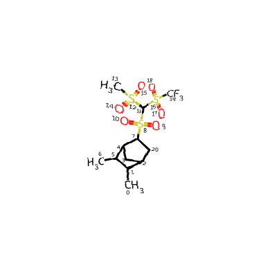 CC1C2CC(C1C)C(S(=O)(=O)C(S(C)(=O)=O)S(=O)(=O)C(F)(F)F)C2